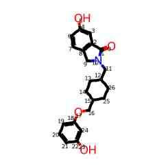 O=C1c2cc(O)ccc2CN1CC1CCC(COc2cccc(O)c2)CC1